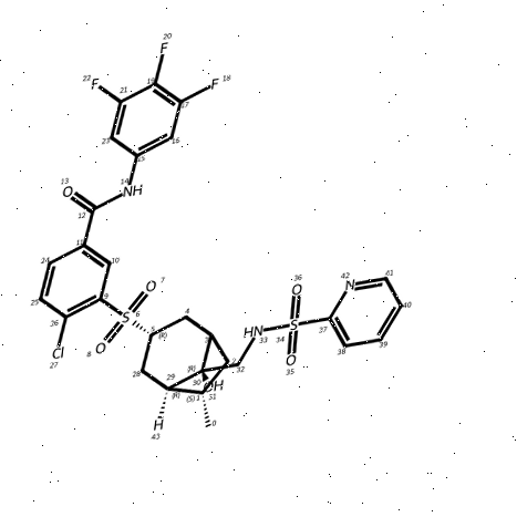 C[C@H]1CC2C[C@@H](S(=O)(=O)c3cc(C(=O)Nc4cc(F)c(F)c(F)c4)ccc3Cl)C[C@H]1[C@@]2(O)CNS(=O)(=O)c1ccccn1